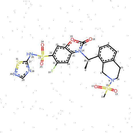 C[C@H](c1cccc2c1CN(S(C)(=O)=O)CC2)n1c(=O)oc2cc(S(=O)(=O)Nc3ncns3)c(F)cc21